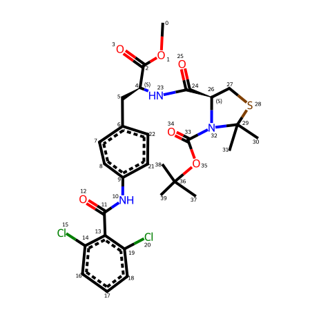 COC(=O)[C@H](Cc1ccc(NC(=O)c2c(Cl)cccc2Cl)cc1)NC(=O)[C@H]1CSC(C)(C)N1C(=O)OC(C)(C)C